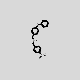 O=[N+]([O-])c1ccc(CNCc2ccc(Oc3ccccc3)cc2)cc1